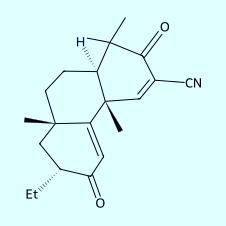 CC[C@@H]1C[C@]2(C)CC[C@H]3C(C)(C)C(=O)C(C#N)=C[C@]3(C)C2=CC1=O